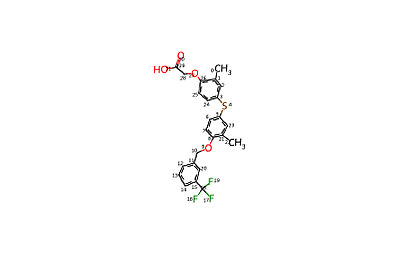 Cc1cc(Sc2ccc(OCc3cccc(C(F)(F)F)c3)c(C)c2)ccc1OCC(=O)O